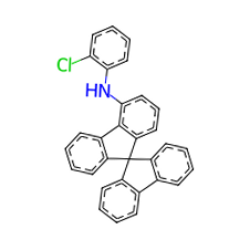 Clc1ccccc1Nc1cccc2c1-c1ccccc1C21c2ccccc2-c2ccccc21